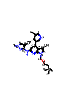 Cc1cncc(-c2cc(Nc3nn(C)cc3C(F)(F)F)nc3c2c(C#N)cn3COCC[Si](C)(C)C)c1